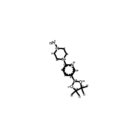 CCCN1CCN(c2ccc(B3OC(C)(C)C(C)(C)O3)cn2)CC1